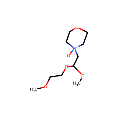 COCCOC(C[N+]1([O-])CCOCC1)OC